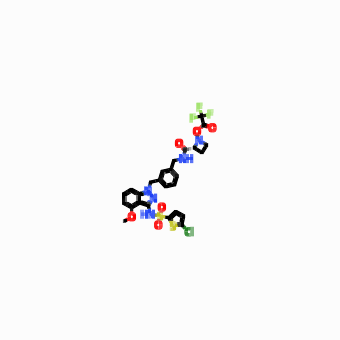 COc1cccc2c1c(NS(=O)(=O)c1ccc(Cl)s1)nn2Cc1cccc(CNC(=O)[C@H]2CCN2OC(=O)C(F)(F)F)c1